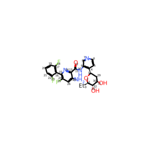 CC[C@H]1O[C@@H](c2ccncc2NC(=O)c2nc(-c3c(F)cccc3F)c(F)cc2N)C[C@@H](O)[C@@H]1O